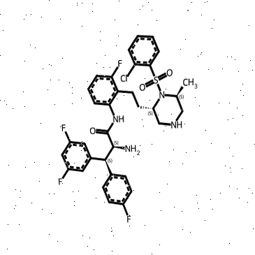 C[C@H]1CNC[C@H](CCc2c(F)cccc2NC(=O)[C@@H](N)[C@@H](c2ccc(F)cc2)c2cc(F)cc(F)c2)N1S(=O)(=O)c1ccccc1Cl